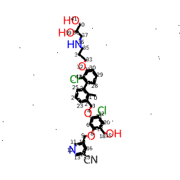 Cc1c(COc2cc(OCc3cncc(C#N)c3)c(CO)cc2Cl)cccc1-c1cccc(OCCCNCC(O)CO)c1Cl